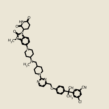 CN(CC1CCN(c2nccc(COc3ccc(C(C)(C)c4cc(Cl)cc(C#N)c4)cc3)n2)CC1)C1CCN(c2ccc3c(c2)n(C)c(=O)n3C2CCC(=O)NC2=O)CC1